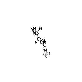 Cc1cn2nc(-c3cc(F)c4cc(C5CCN(C(=O)OC(C)(C)C)CC5)nnc4c3)cc(C#N)c2n1